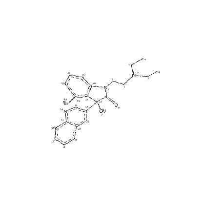 CCN(CC)CCN1C(=O)C(O)(c2cnc3ccccc3c2)c2c(Br)cccc21